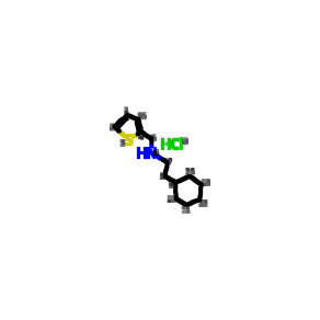 Cl.c1csc(CNCCC2CCCCC2)c1